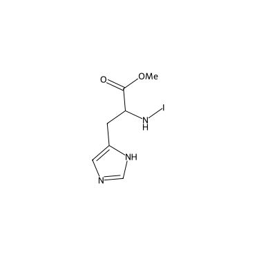 COC(=O)C(Cc1cnc[nH]1)NI